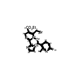 CCOC(=O)C1=C(CBr)N(OC(=O)c2ccc(F)nc2C)C(c2nccs2)=NC1